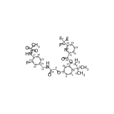 CC(C)(C)c1ccc(OCC(=O)NCc2ccc(NS(C)(=O)=O)c(F)c2)cc1OC(=O)c1cccc(C(F)(F)F)n1